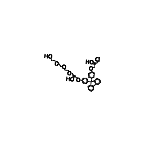 OCCOCCOCCOC[C@@H](O)COc1ccc(C2(c3ccc(OC[C@H](O)CCl)cc3)c3ccccc3-c3ccccc32)cc1